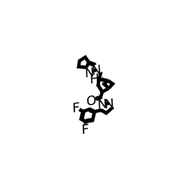 O=C(C1C[C@@H](Cn2cc3c(n2)CCC3)C2CC1C2)N1N=CCC1c1cc(F)cc(F)c1